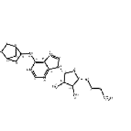 O=C(O)CCC[C@H]1O[C@@H](n2cnc3c(NC4CC5CCC4C5)ncnc32)C(O)C1O